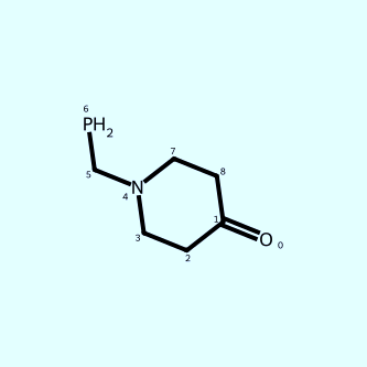 O=C1CCN(CP)CC1